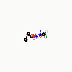 O=C(NCCNS(=O)(=O)c1ccc(-c2ccccc2OCc2ccccc2)s1)Nc1cc(Cl)cc(Cl)c1